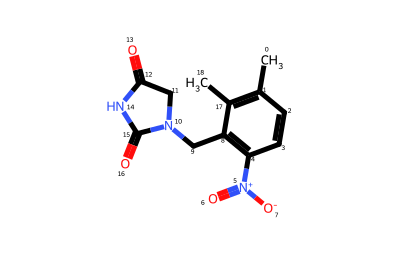 Cc1ccc([N+](=O)[O-])c(CN2CC(=O)NC2=O)c1C